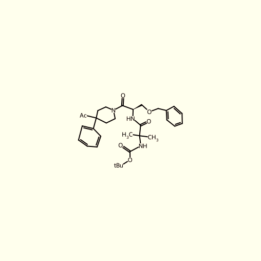 CC(=O)C1(c2ccccc2)CCN(C(=O)[C@@H](COCc2ccccc2)NC(=O)C(C)(C)NC(=O)OC(C)(C)C)CC1